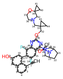 C#Cc1cccc2cc(O)cc(-c3c(F)cc4c(N5CC6CCC(C5)N6C(=O)C(F)(F)F)nc(OCC5(CN6CCOC7(CC7)C6)CC5)nc4c3F)c12